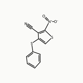 N#Cc1c(Sc2ccccc2)csc1[N+](=O)[O-]